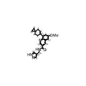 COc1cc(C2=CCC3(CC2)CC3)c2ncc(C(=O)NCc3cn[nH]c3)cc2c1